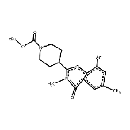 CC(=O)c1cc(C)cc2c(=O)n(C)c(C3CCN(C(=O)OC(C)(C)C)CC3)nc12